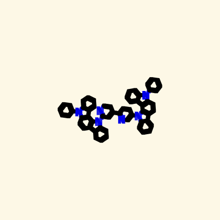 c1ccc(-n2c3ccccc3c3c2ccc2c4ccccc4n(-c4ccc(-c5ccnc(-n6c7ccccc7c7ccc8c(c9ccccc9n8-c8ccccc8)c76)c5)nc4)c23)cc1